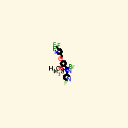 COc1cc(OCc2ccc(C(F)(F)F)nc2)ccc1-c1c(Br)nc(-c2ccc(F)nc2)n1C